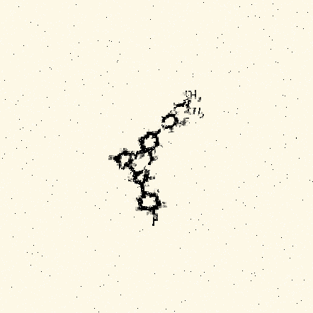 CN(C)C[C@H]1CN(c2ccc3c(c2)Cn2cc(-c4ccc(F)cc4)cc2-c2nccn2-3)C[C@H]1F